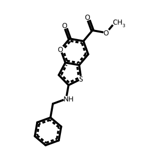 COC(=O)c1cc2sc(NCc3ccccc3)cc2oc1=O